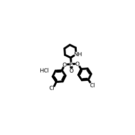 Cl.O=P(Oc1ccc(Cl)cc1)(Oc1ccc(Cl)cc1)C1CCCCN1